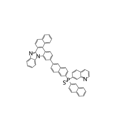 S=P(c1ccc2ccccc2c1)(c1ccc2cc(-c3ccc4c5c6ccccc6ccc5c5nc6ccccc6n5c4c3)ccc2c1)c1ccc2cccnc2c1